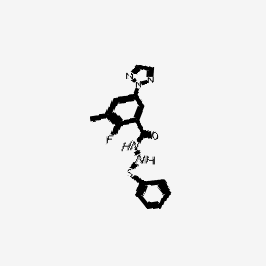 Cc1cc(-n2nccn2)cc(C(=O)NNSc2ccccc2)c1F